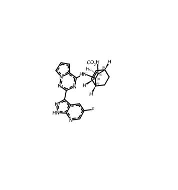 O=C(O)[C@@H]1[C@@H](Nc2nc(-c3n[nH]c4ncc(F)cc34)nn3cccc23)[C@H]2C=C[C@@H]1CC2